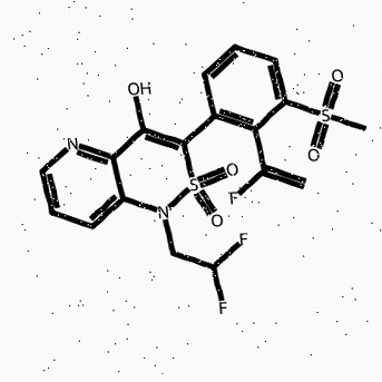 C=C(F)c1c(C2=C(O)c3ncccc3N(CC(F)F)S2(=O)=O)cccc1S(C)(=O)=O